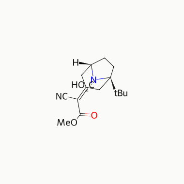 COC(=O)/C(C#N)=C1/C[C@@H]2CC[C@](C(C)(C)C)(C1)N2C(=O)O